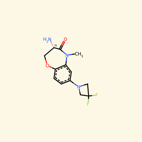 CN1C(=O)[C@@H](N)COc2ccc(N3CC(F)(F)C3)cc21